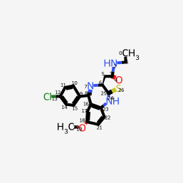 CCNC(=O)C[C@@H]1N=C(c2ccc(Cl)cc2)c2cc(OC)ccc2NC1=S